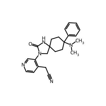 CN(C)C1(c2ccccc2)CCC2(CC1)CN(c1cnccc1CC#N)C(=O)N2